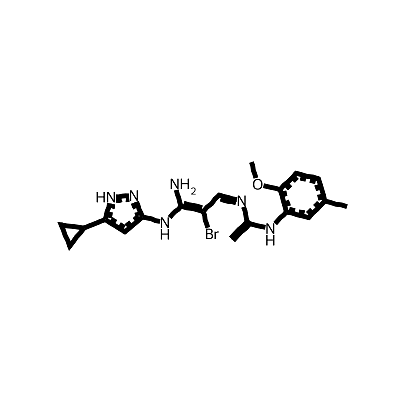 C=C(/N=C\C(Br)=C(/N)Nc1cc(C2CC2)[nH]n1)Nc1cc(C)ccc1OC